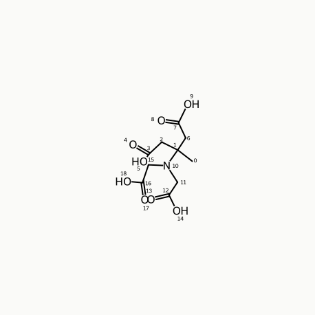 CC(CC(=O)O)(CC(=O)O)N(CC(=O)O)CC(=O)O